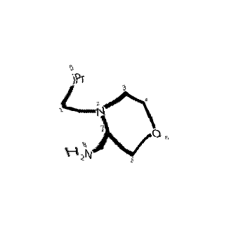 CC(C)CN1CCOCC1N